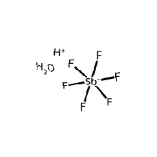 O.[F][Sb-]([F])([F])([F])([F])[F].[H+]